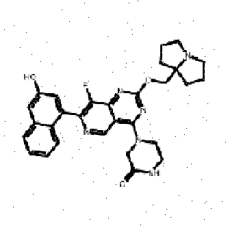 O=C1CN(c2nc(OCC34CCCN3CCC4)nc3c(F)c(-c4cc(O)cc5ccccc45)ncc23)CCN1